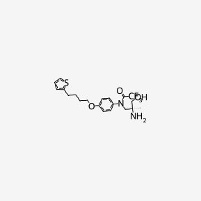 C[C@@](N)(CO)CN(C(=O)C(F)(F)F)c1ccc(OCCCCc2cccs2)cc1